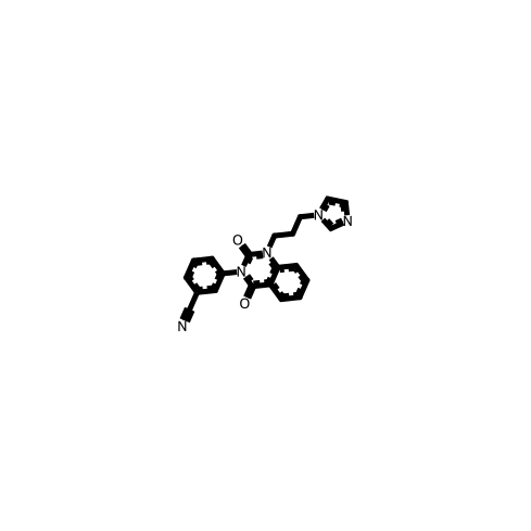 N#Cc1cccc(-n2c(=O)c3ccccc3n(CCCn3ccnc3)c2=O)c1